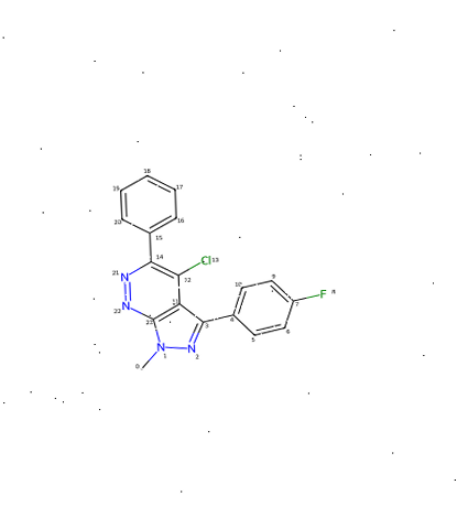 Cn1nc(-c2ccc(F)cc2)c2c(Cl)c(-c3ccccc3)nnc21